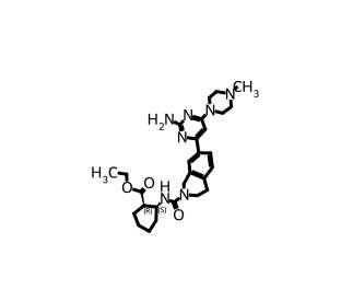 CCOC(=O)[C@@H]1CCCC[C@@H]1NC(=O)N1CCc2ccc(-c3cc(N4CCN(C)CC4)nc(N)n3)cc2C1